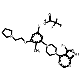 Cc1c(OCCN2CCCC2)cc(Cl)cc1N1CCN(c2ncnc3[nH]nc(C(C)C)c23)CC1.O=C(O)C(F)(F)F